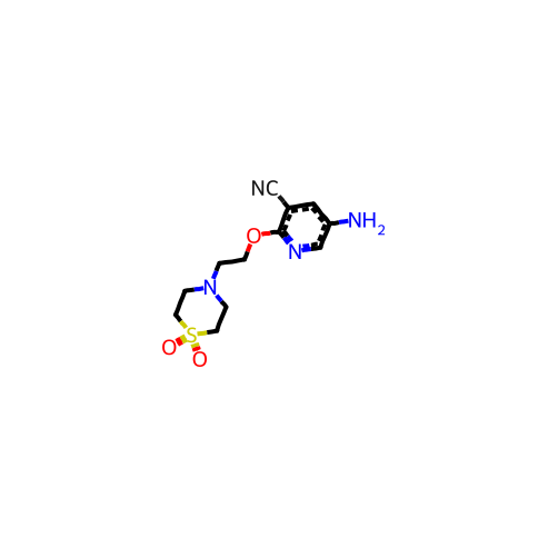 N#Cc1cc(N)cnc1OCCN1CCS(=O)(=O)CC1